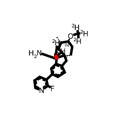 [2H]C([2H])([2H])O[C@H]1CC[C@@]2(Cc3ccc(-c4cccnc4F)cc3[C@]23N=C(N)OC3([2H])[2H])C[C@@H]1C